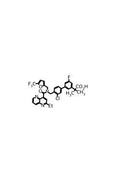 CCc1cc(C(=O)N(Cc2ccc(C(F)(F)F)o2)Cc2ccc(-c3cc(F)cc(C(C)(C)C(=O)O)c3)cc2Cl)c2ncccc2n1